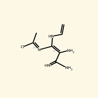 C=CNC(/N=C(\C)Cl)=C(\N)C(=N)N